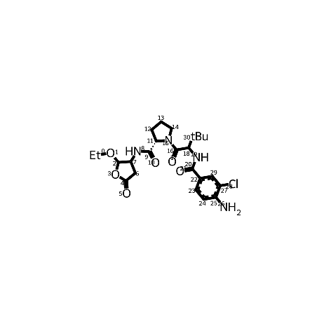 CCOC1OC(=O)CC1NC(=O)[C@@H]1CCCN1C(=O)C(NC(=O)c1ccc(N)c(Cl)c1)C(C)(C)C